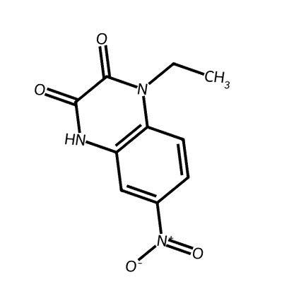 CCn1c(=O)c(=O)[nH]c2cc([N+](=O)[O-])ccc21